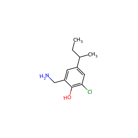 CCC(C)c1cc(Cl)c(O)c(CN)c1